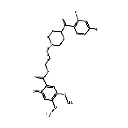 COc1cc(O)c(C(=O)CCCCN2CCC(C(=O)c3ccc(F)cc3F)CC2)cc1OC